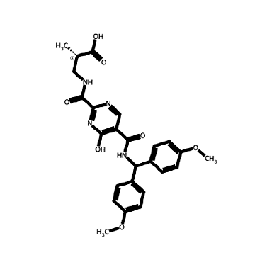 COc1ccc(C(NC(=O)c2cnc(C(=O)NC[C@H](C)C(=O)O)nc2O)c2ccc(OC)cc2)cc1